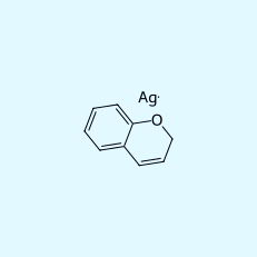 C1=Cc2ccccc2OC1.[Ag]